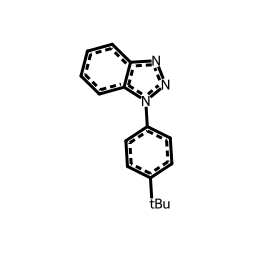 CC(C)(C)c1ccc(-n2nnc3ccccc32)cc1